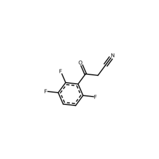 N#CCC(=O)c1c(F)ccc(F)c1F